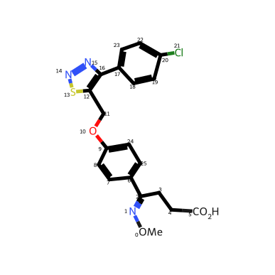 CO/N=C(\CCC(=O)O)c1ccc(OCc2snnc2-c2ccc(Cl)cc2)cc1